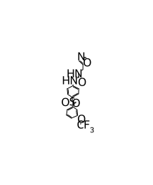 O=C(NCc1cnco1)Nc1ccc(S(=O)(=O)c2cccc(OC(F)(F)F)c2)cc1